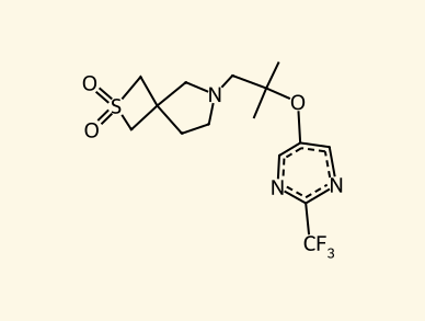 CC(C)(CN1CCC2(C1)CS(=O)(=O)C2)Oc1cnc(C(F)(F)F)nc1